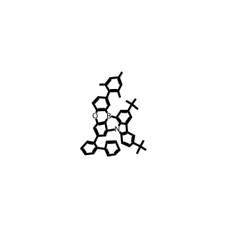 Cc1cc(C)c(-c2ccc3c(c2)B2c4c(cc(-c5ccccc5-c5ccccc5)cc4-n4c5ccc(C(C)(C)C)cc5c5cc(C(C)(C)C)cc2c54)O3)c(C)c1